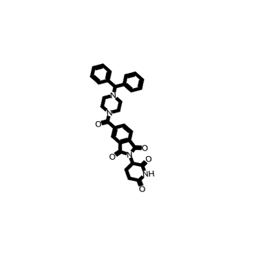 O=C1CCC(N2C(=O)c3ccc(C(=O)N4CCN(C(c5ccccc5)c5ccccc5)CC4)cc3C2=O)C(=O)N1